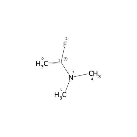 C[C@H](F)N(C)C